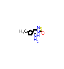 C[C@@H]1CC[C@](CN)(Cc2nsc(=O)[nH]2)C1